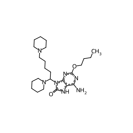 CCCCOc1nc(N)c2[nH]c(=O)n(C(CCCCN3CCCCC3)N3CCCCC3)c2n1